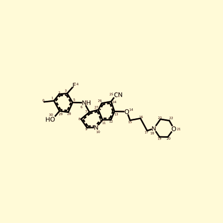 Cc1cc(F)c(Nc2ccnc3cc(OCCCN4CCOCC4)c(C#N)cc23)cc1O